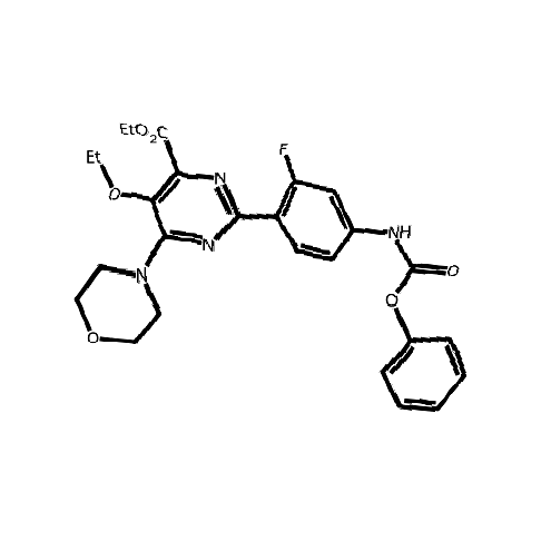 CCOC(=O)c1nc(-c2ccc(NC(=O)Oc3ccccc3)cc2F)nc(N2CCOCC2)c1OCC